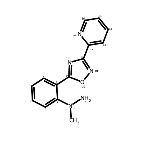 CN(N)c1ccccc1-c1nc(-c2ccccn2)no1